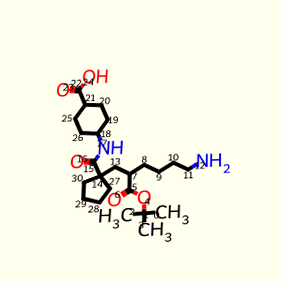 CC(C)(C)OC(=O)C(CCCCN)CC1(C(=O)NC2CCC(C(=O)O)CC2)CCCC1